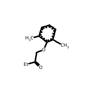 CCC(=O)COc1c(C)c[c]cc1C